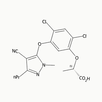 CCCc1nn(C)c(Oc2cc(O[C@@H](C)C(=O)O)c(Cl)cc2Cl)c1C#N